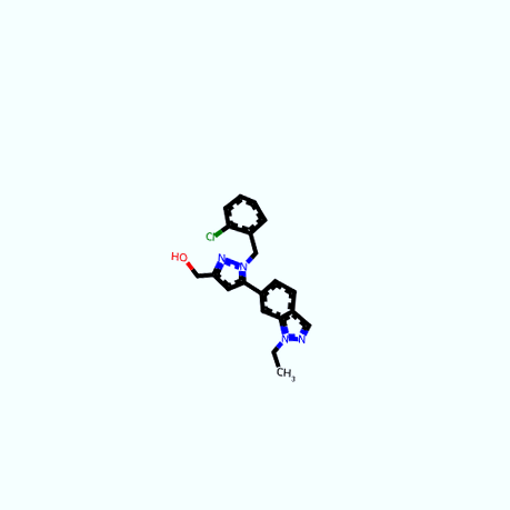 CCn1ncc2ccc(-c3cc(CO)nn3Cc3ccccc3Cl)cc21